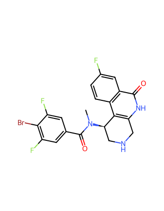 CN(C(=O)c1cc(F)c(Br)c(F)c1)[C@@H]1CNCc2[nH]c(=O)c3cc(F)ccc3c21